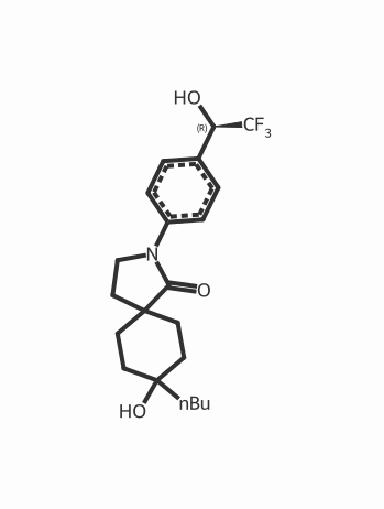 CCCCC1(O)CCC2(CCN(c3ccc([C@@H](O)C(F)(F)F)cc3)C2=O)CC1